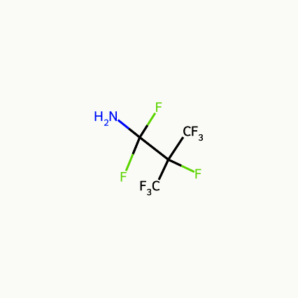 NC(F)(F)C(F)(C(F)(F)F)C(F)(F)F